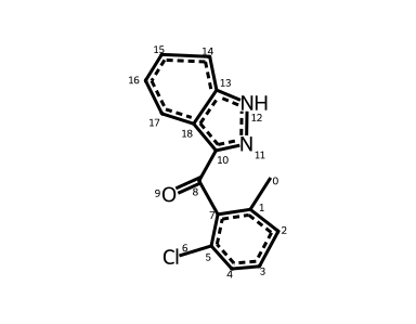 Cc1cccc(Cl)c1C(=O)c1n[nH]c2ccccc12